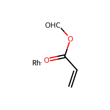 C=CC(=O)OC=O.[Rh]